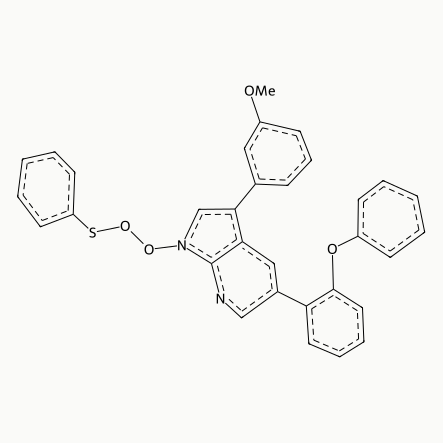 COc1cccc(-c2cn(OOSc3ccccc3)c3ncc(-c4ccccc4Oc4ccccc4)cc23)c1